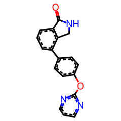 O=C1NCc2c1cccc2-c1ccc(Oc2ncccn2)cc1